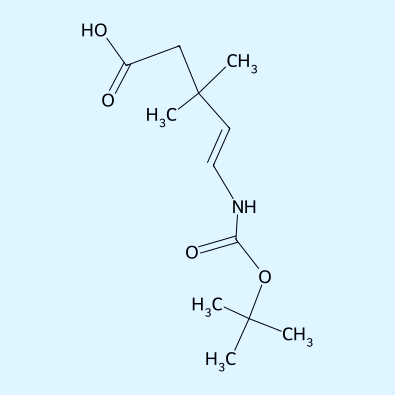 CC(C)(C=CNC(=O)OC(C)(C)C)CC(=O)O